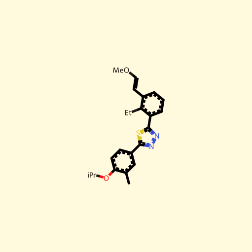 CCc1c(/C=C/OC)cccc1-c1nnc(-c2ccc(OC(C)C)c(C)c2)s1